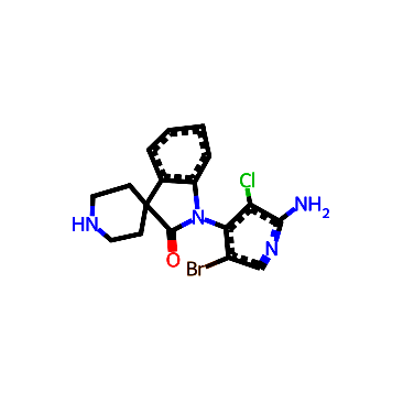 Nc1ncc(Br)c(N2C(=O)C3(CCNCC3)c3ccccc32)c1Cl